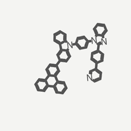 c1cncc(-c2ccc(-c3nc4ccccc4n3-c3ccc(-n4c5ccccc5c5cc(-c6ccc7c8ccccc8c8ccccc8c7c6)ccc54)cc3)cc2)c1